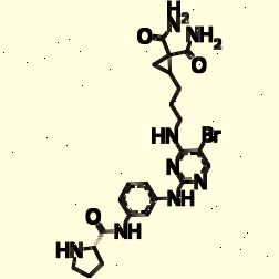 NC(=O)C1(C(N)=O)CC1CCCNc1nc(Nc2cccc(NC(=O)[C@@H]3CCCN3)c2)ncc1Br